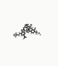 COc1ccc(-n2cnnn2)c(CNC(=O)c2cn(Cc3cn4cc(C5CC5)cc(CCC5COC5)c4n3)nn2)c1F